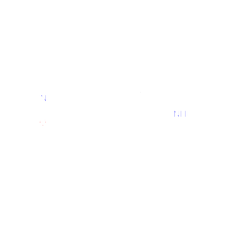 c1nocc1C1CC2CNCC(C2)C1